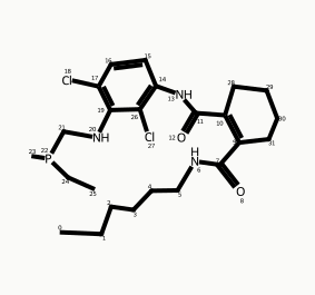 CCCCCCNC(=O)C1=C(C(=O)Nc2ccc(Cl)c(NCP(C)CC)c2Cl)CCCC1